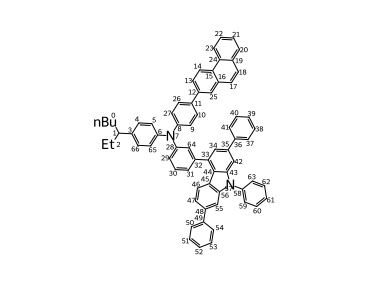 CCCCC(CC)c1ccc(N(c2ccc(-c3ccc4c(ccc5ccccc54)c3)cc2)c2cccc(-c3cc(-c4ccccc4)cc4c3c3ccc(-c5ccccc5)cc3n4-c3ccccc3)c2)cc1